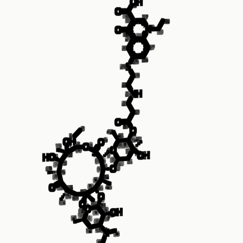 CC[C@@H]1OC(=O)[C@H](C)[C@H](O[C@@H]2C[C@](C)(O)[C@H](OC(=O)CCNCCSc3ccc4c(c3)c(=O)c(C(=O)O)cn4CC)[C@H](C)O2)[C@@H](C)[C@H](O[C@@H]2O[C@H](C)C[C@H](N(C)C)[C@@H]2O)[C@](C)(OC)C[C@H](C)C(=O)[C@H](C)[C@@H](O)[C@]1(C)O